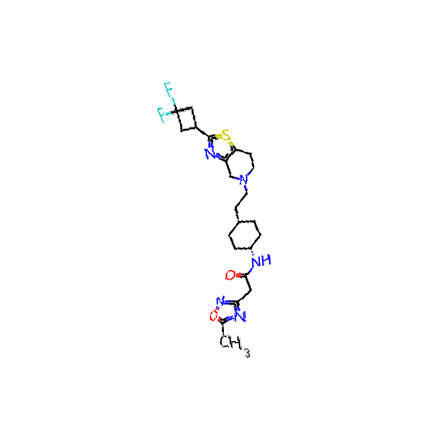 Cc1nc(CC(=O)N[C@H]2CC[C@H](CCN3CCc4sc(C5CC(F)(F)C5)nc4C3)CC2)no1